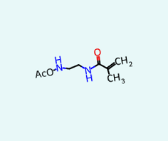 C=C(C)C(=O)NCCNOC(C)=O